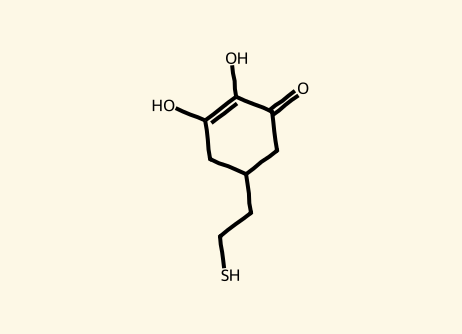 O=C1CC(CCS)CC(O)=C1O